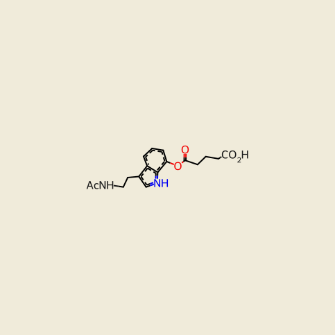 CC(=O)NCCc1c[nH]c2c(OC(=O)CCCC(=O)O)cccc12